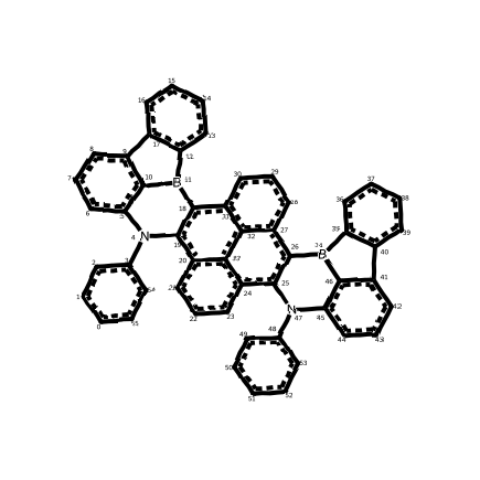 c1ccc(N2c3cccc4c3B(c3ccccc3-4)c3c2c2cccc4c5c(c6cccc3c6c24)B2c3ccccc3-c3cccc(c32)N5c2ccccc2)cc1